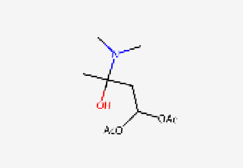 CC(=O)OC(CC(C)(O)N(C)C)OC(C)=O